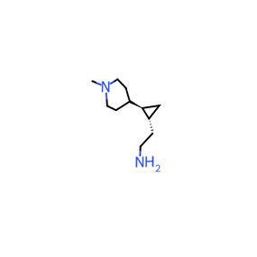 CN1CCC([C@H]2C[C@@H]2CCN)CC1